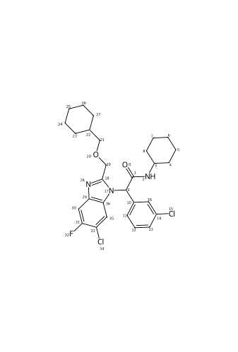 O=C(NC1CCCCC1)C(c1cccc(Cl)c1)n1c(COCC2CCCCC2)nc2cc(F)c(Cl)cc21